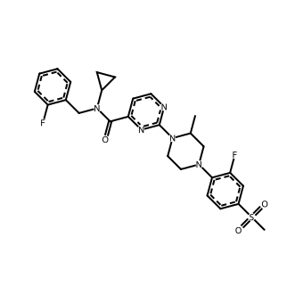 CC1CN(c2ccc(S(C)(=O)=O)cc2F)CCN1c1nccc(C(=O)N(Cc2ccccc2F)C2CC2)n1